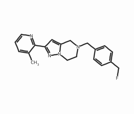 Cc1cccnc1-c1cc2n(n1)CCN(Cc1ccc(CF)cc1)C2